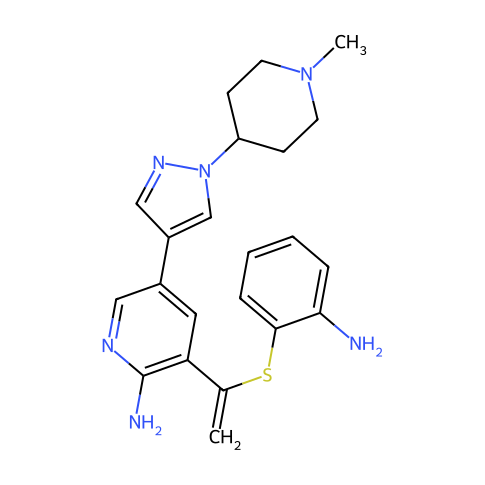 C=C(Sc1ccccc1N)c1cc(-c2cnn(C3CCN(C)CC3)c2)cnc1N